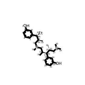 CC[C@@H](c1cccc(O)c1)[C@@H](C)CN(C)CC(C)[C@H](c1cccc(O)c1)[C@H](C)CN(C)C